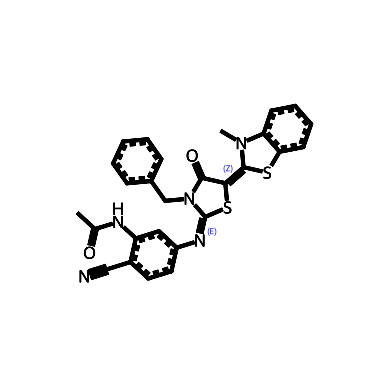 CC(=O)Nc1cc(/N=C2/S/C(=C3\Sc4ccccc4N3C)C(=O)N2Cc2ccccc2)ccc1C#N